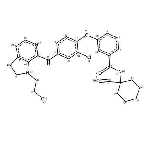 C#CC1(NC(=O)c2cccc(Oc3ccc(Nc4ncnc5c4N(CCO)CC5)cc3Cl)c2)CCCCC1